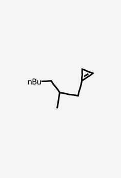 CCCCCC(C)CC1=CC1